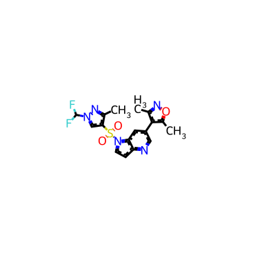 Cc1nn(C(F)F)cc1S(=O)(=O)n1ccc2ncc(-c3c(C)noc3C)cc21